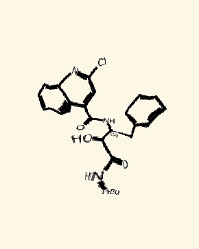 CCCCNC(=O)C(O)[C@H](Cc1ccccc1)NC(=O)c1cc(Cl)nc2ccccc12